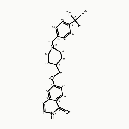 O=c1[nH]ccc2cc(OCC3CCN(Cc4ccc(C(F)(F)F)cc4)CC3)ccc12